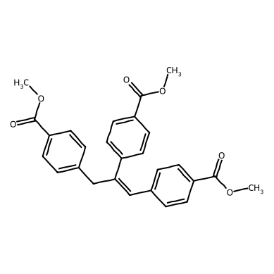 COC(=O)c1ccc(C=C(Cc2ccc(C(=O)OC)cc2)c2ccc(C(=O)OC)cc2)cc1